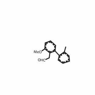 COc1cccc(-c2ccccc2C)c1CC=O